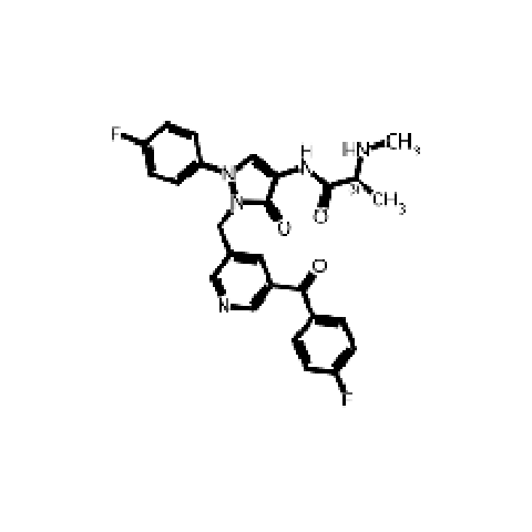 CN[C@@H](C)C(=O)Nc1cn(-c2ccc(F)cc2)n(Cc2cncc(C(=O)c3ccc(F)cc3)c2)c1=O